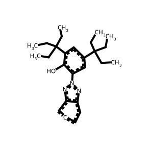 CCC(CC)(CC)c1cc(-n2nc3ccccc3n2)c(O)c(C(CC)(CC)CC)c1